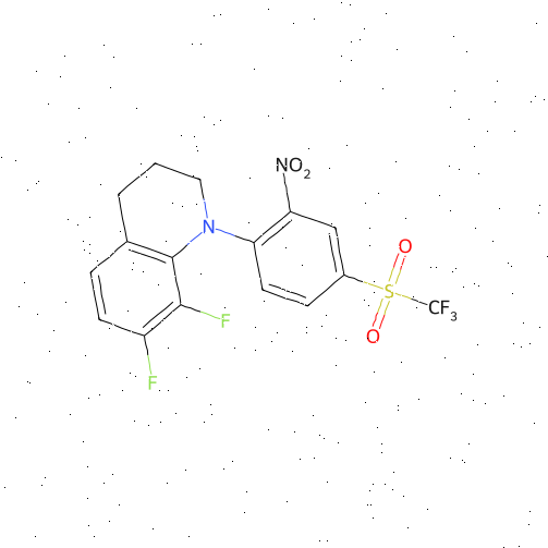 O=[N+]([O-])c1cc(S(=O)(=O)C(F)(F)F)ccc1N1CCCc2ccc(F)c(F)c21